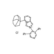 CC(C)c1cccc(C(C)C)c1-[n+]1cc2cccc(C34CC5CC(CC(C5)C3)C4)n2c1.[Cl-]